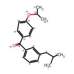 CC(C)Cc1cccc(C(=O)c2ccc(OC(C)C)cc2)c1